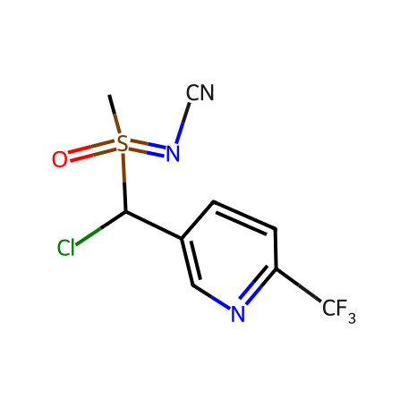 CS(=O)(=NC#N)C(Cl)c1ccc(C(F)(F)F)nc1